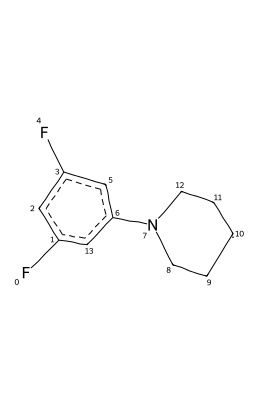 Fc1cc(F)cc(N2CC[CH]CC2)c1